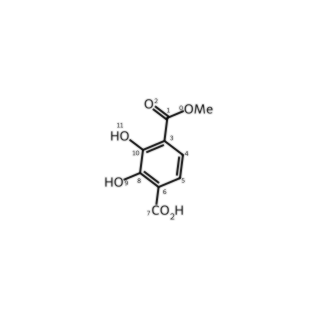 COC(=O)c1ccc(C(=O)O)c(O)c1O